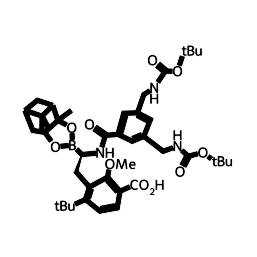 COc1c(C(=O)O)ccc(C(C)(C)C)c1C[C@H](NC(=O)c1cc(CNC(=O)OC(C)(C)C)cc(CNC(=O)OC(C)(C)C)c1)B1OC2CC3CC(C3(C)C)C2(C)O1